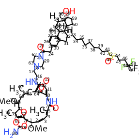 CO[C@H]1/C=C\C=C(/C)C(=O)NC2=CC(=O)C(NCCN3CCN(C(=O)Cc4ccc5c(c4)C[C@@H](CCCCCCCCC[S+]([O-])CCCC(F)(F)C(F)(F)F)[C@@H]4[C@@H]5CC[C@]5(C)[C@@H](O)CC[C@@H]45)CC3)=C(C[C@@H](C)C[C@H](OC)[C@H]3OC(=C[C@@H]3C)[C@@H]1OC(N)=O)C2=O